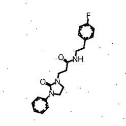 O=C(CCN1CCN(c2ccccc2)C1=O)N[CH]Cc1ccc(F)cc1